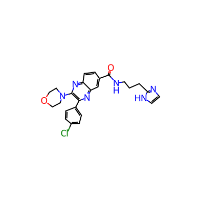 O=C(NCCCc1ncc[nH]1)c1ccc2nc(N3CCOCC3)c(-c3ccc(Cl)cc3)nc2c1